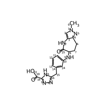 Cn1cc2c(n1)CCC(Nc1cccc(Cc3nnc(C(=O)O)[nH]3)c1)C(=O)N2